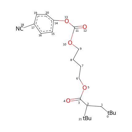 CC(C)(C)CC(C(=O)OCCCCOC(=O)Oc1ccc(C#N)cc1)C(C)(C)C